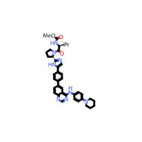 COC(=O)N[C@H](C(=O)N1CCC[C@H]1c1ncc(-c2ccc(-c3ccc4ncnc(Nc5ccc(N6CCCCC6)cc5)c4c3)cc2)[nH]1)C(C)C